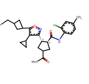 COC(=O)C1C[C@H](C(=O)Nc2ccc(C)cc2Cl)[C@@H](c2noc(C3CC(CC(C)C)C3)c2C2CC2)C1